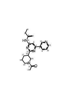 C=C(CC)Nc1cc(-c2cccnc2)nc(C2CCCN(C(C)=O)C2)n1